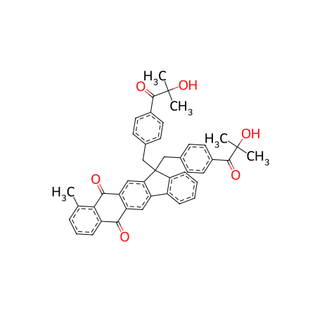 Cc1cccc2c1C(=O)c1cc3c(cc1C2=O)-c1ccccc1C3(Cc1ccc(C(=O)C(C)(C)O)cc1)Cc1ccc(C(=O)C(C)(C)O)cc1